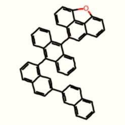 c1ccc2cc(-c3ccc4cccc(-c5c6ccccc6c(-c6cc7cccc8oc9cccc6c9c78)c6ccccc56)c4c3)ccc2c1